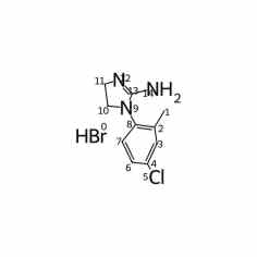 Br.Cc1cc(Cl)ccc1N1CCN=C1N